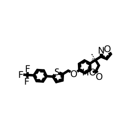 C[C@](CC(=O)O)(c1ccc(OCc2ccc(-c3ccc(C(F)(F)F)cc3)s2)cc1)c1ccon1